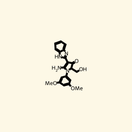 COc1cc(OC)cc(N2C(N)=C(c3nc4ccccc4[nH]3)C(=O)C2CO)c1